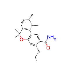 CCCc1cc2c(cc1C(N)=O)C1=C(C=C[C@@H](C)C1C)C(C)(C)O2